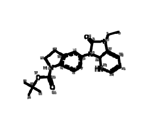 CCN1C(=O)N(c2ccc3c(c2)CCN3C(=O)OC(C)(C)C)C2NC=CC=C21